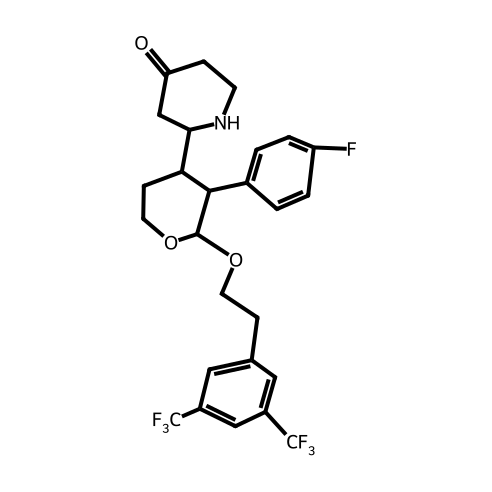 O=C1CCNC(C2CCOC(OCCc3cc(C(F)(F)F)cc(C(F)(F)F)c3)C2c2ccc(F)cc2)C1